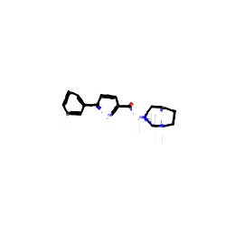 O=C(NC1C[C@H]2CC[C@@H](C1)N2)c1ccc(-c2cccc(F)c2)nc1